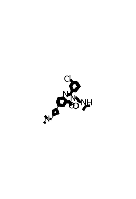 CC(C)NC(=O)Cn1c(-c2cccc(Cl)c2)nc2ccc([C@H]3C[C@@H](CN(C)C)C3)cc2c1=O